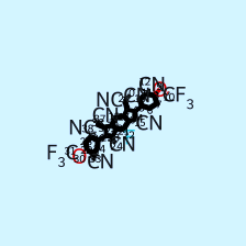 N#CC(C#N)=C1C(c2ccc(OC(F)(F)F)c(C#N)c2)=C(C#N)c2c1cc1c(c2F)C(C#N)=C(c2ccc(OC(F)(F)F)c(C#N)c2)C1=C(C#N)C#N